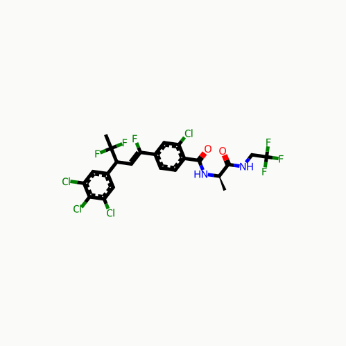 C[C@@H](NC(=O)c1ccc(/C(F)=C/C(c2cc(Cl)c(Cl)c(Cl)c2)C(C)(F)F)cc1Cl)C(=O)NCC(F)(F)F